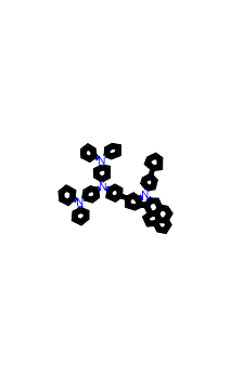 c1ccc(-c2ccc(-n3c4cc(-c5ccc(N(c6ccc(N(c7ccccc7)c7ccccc7)cc6)c6ccc(N(c7ccccc7)c7ccccc7)cc6)cc5)ccc4c4c5ccc6cccc7ccc(cc43)c5c76)cc2)cc1